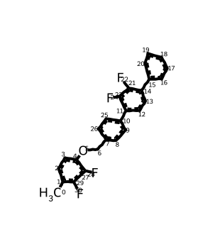 Cc1ccc(OCc2ccc(-c3ccc(-c4ccccc4)c(F)c3F)cc2)c(F)c1F